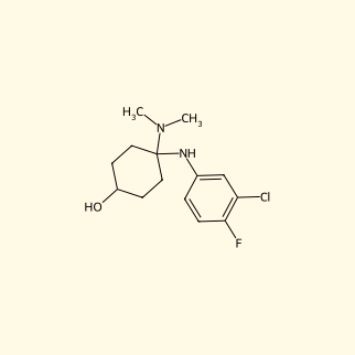 CN(C)C1(Nc2ccc(F)c(Cl)c2)CCC(O)CC1